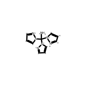 NC(n1cccn1)(n1cccn1)n1cccn1